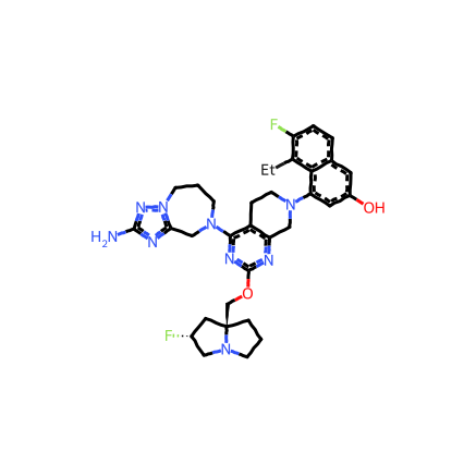 CCc1c(F)ccc2cc(O)cc(N3CCc4c(nc(OC[C@@]56CCCN5C[C@H](F)C6)nc4N4CCCn5nc(N)nc5C4)C3)c12